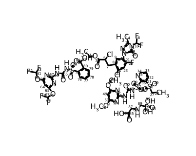 CCOC(=O)C(Cl)Cc1cc(-n2nc(C)n(C(F)F)c2=O)c(F)cc1Cl.CCS(=O)(=O)c1cccnc1S(=O)(=O)NC(=O)Nc1nc(OC)cc(OC)n1.O=C(Nc1nc(OC(F)F)cc(OC(F)F)n1)NS(=O)(=O)c1ccccc1C(=O)O.O=C(O)CNCP(=O)(O)O